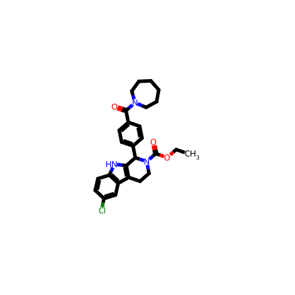 CCOC(=O)N1CCc2c([nH]c3ccc(Cl)cc23)C1c1ccc(C(=O)N2CCCCCC2)cc1